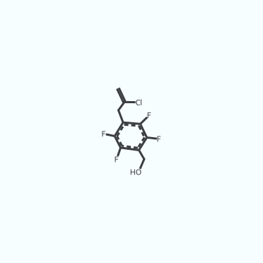 C=C(Cl)Cc1c(F)c(F)c(CO)c(F)c1F